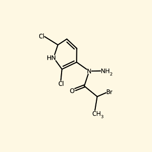 CC(Br)C(=O)N(N)C1=C(Cl)NC(Cl)C=C1